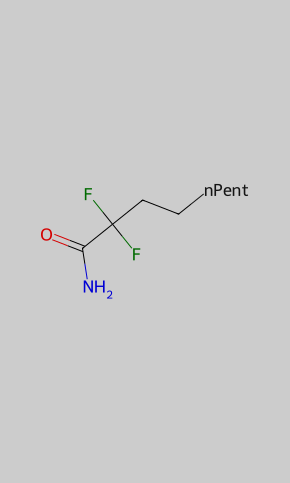 CCCCCCCC(F)(F)C(N)=O